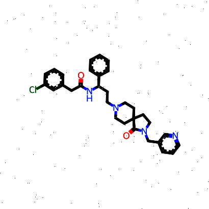 O=C(Cc1cccc(Cl)c1)NC(CCN1CCC2(CC1)CCN(Cc1cccnc1)C2=O)c1ccccc1